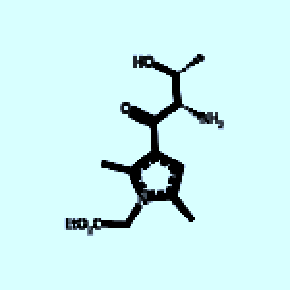 CCOC(=O)Cn1c(C)cc(C(=O)[C@@H](N)[C@@H](C)O)c1C